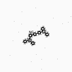 N#Cc1cc(-c2ccc(-c3nc(-c4ccccc4)nc4ccccc34)cc2)ccc1-c1cccc(-c2nc(-c3ccccc3)nc(-c3ccccc3)n2)c1